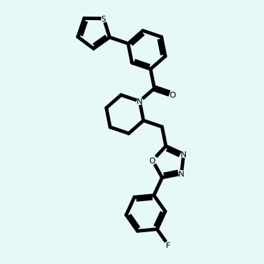 O=C(c1cccc(-c2cccs2)c1)N1CCCCC1Cc1nnc(-c2cccc(F)c2)o1